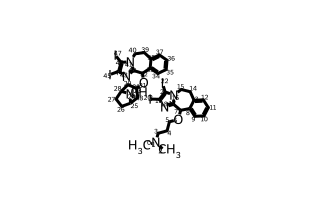 CN(C)CCCOC1c2ccccc2CCn2c1nc(I)c2I.CN1C2CCC1CC(OC1c3ccccc3CCn3c1nc(I)c3I)C2